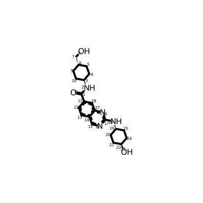 O=C(N[C@H]1CC[C@@H](CO)CC1)c1ccc2cnc(N[C@H]3CC[C@H](O)CC3)nc2c1